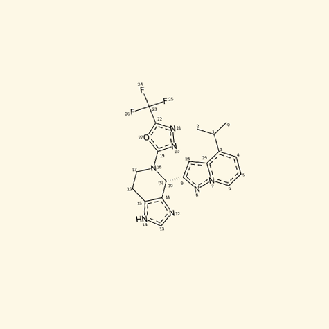 CC(C)c1cccn2nc([C@@H]3c4nc[nH]c4CCN3c3nnc(C(F)(F)F)o3)cc12